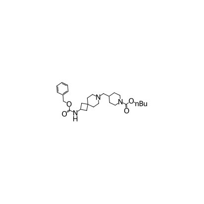 CCCCOC(=O)N1CCC(CN2CCC3(CC2)CC(NC(=O)OCc2ccccc2)C3)CC1